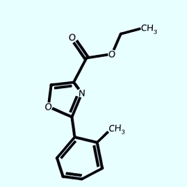 CCOC(=O)c1coc(-c2ccccc2C)n1